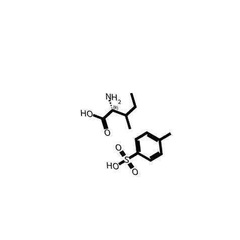 CCC(C)[C@@H](N)C(=O)O.Cc1ccc(S(=O)(=O)O)cc1